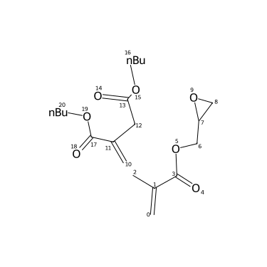 C=C(C)C(=O)OCC1CO1.C=C(CC(=O)OCCCC)C(=O)OCCCC